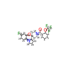 O=C(c1ccccc1OC(F)(F)F)N1CCC2(CC1)Oc1cc(F)ccc1-n1cccc12